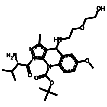 COc1ccc2c(c1)C(NCCOCCO)c1c(C)nn(C(=O)[C@@H](N)C(C)C)c1N2C(=O)OC(C)(C)C